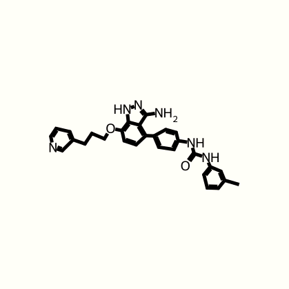 Cc1cccc(NC(=O)Nc2ccc(-c3ccc(OCCCc4cccnc4)c4[nH]nc(N)c34)cc2)c1